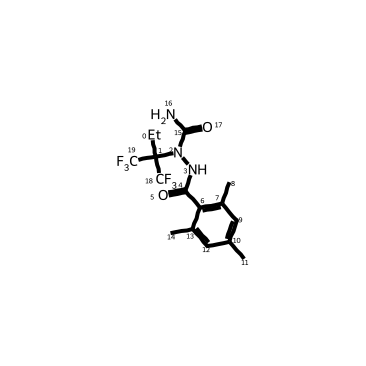 CCC(N(NC(=O)c1c(C)cc(C)cc1C)C(N)=O)(C(F)(F)F)C(F)(F)F